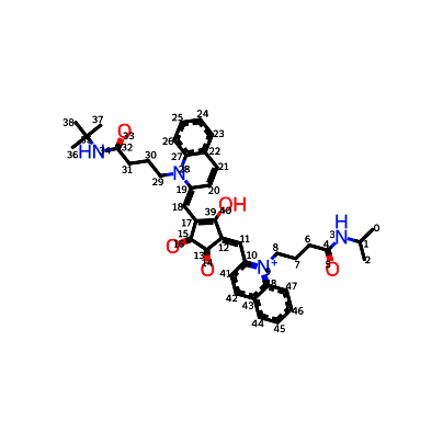 CC(C)NC(=O)CCC[n+]1c(/C=C2\C(=O)C(=O)C(/C=C3\C=Cc4ccccc4N3CCCC(=O)NC(C)(C)C)=C2O)ccc2ccccc21